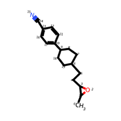 CC1OC1CCC1CCC(c2ccc(C#N)cc2)CC1